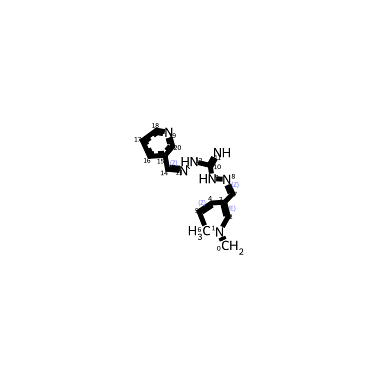 C=N/C=C(\C=C/C)/C=N\NC(=N)N/N=C\c1cccnc1